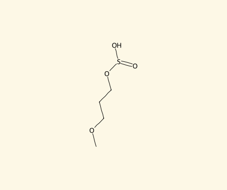 COCCCOS(=O)O